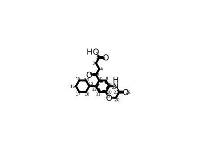 O=C(O)CCC(=O)c1cc2c(cc1C1CCCCC1)OCC(=O)N2